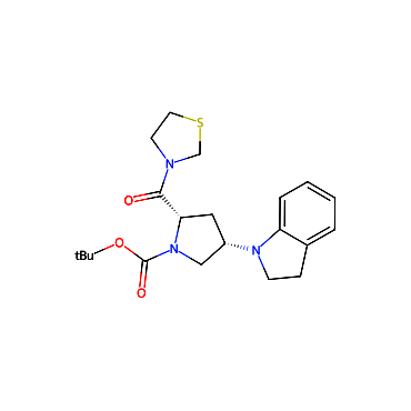 CC(C)(C)OC(=O)N1C[C@@H](N2CCc3ccccc32)C[C@H]1C(=O)N1CCSC1